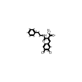 CC(=O)/C(=C/c1ccc(Cl)c(Cl)c1)C(=O)NCCc1ccccc1